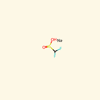 O=S(O)C(F)F.[Na]